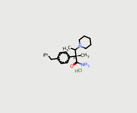 CC(C)Cc1ccc([C@@](C)(C(N)=O)C(C)N2CCCCC2)cc1.Cl